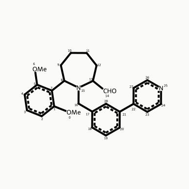 COc1cccc(OC)c1C1CCCCC(C=O)N1Cc1cccc(-c2ccncc2)c1